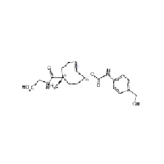 C[C@@]1(C(=O)NCC(=O)O)CC/C=C/[C@H](OC(=O)Nc2ccc(CO)cc2)CC1